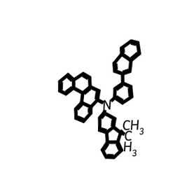 CC1(C)c2ccccc2-c2ccc(N(c3cccc(-c4ccc5ccccc5c4)c3)c3cc4ccc5ccccc5c4c4ccccc34)cc21